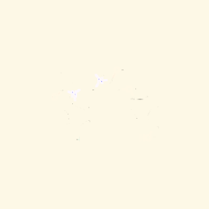 CC(=O)N(c1ccc(F)cc1)C1CCN(C(=O)COc2ccc(CO)cc2)C1